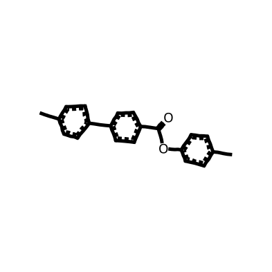 Cc1ccc(OC(=O)c2ccc(-c3ccc(C)cc3)cc2)cc1